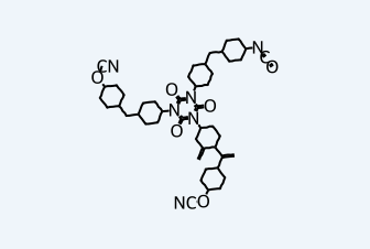 C=C1CC(n2c(=O)n(C3CCC(CC4CCC(N=C=O)CC4)CC3)c(=O)n(C3CCC(CC4CCC(OC#N)CC4)CC3)c2=O)CCC1C(=C)C1CCC(OC#N)CC1